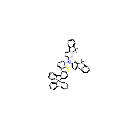 CC1(C)c2ccccc2-c2ccc(N(c3ccc4c(c3)C(C)(C)c3ccccc3-4)c3cccc4c3sc3ccc5c(c34)-c3ccccc3C53c4ccccc4-c4ccccc43)cc21